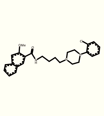 COc1cc2ccccc2cc1C(=O)NCCCCN1CCN(c2ccccc2Cl)CC1